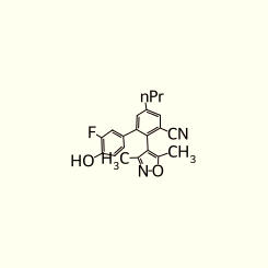 CCCc1cc(C#N)c(-c2c(C)noc2C)c(-c2ccc(O)c(F)c2)c1